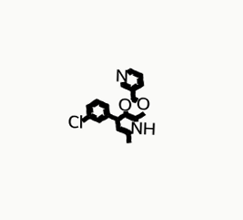 CC1=CC(c2cccc(Cl)c2)C(OC(=O)c2cccnc2)=C(C)N1